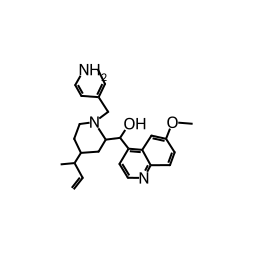 C=CC(C)C1CCN(CC(/C=C\N)=C/C)C(C(O)c2ccnc3ccc(OC)cc23)C1